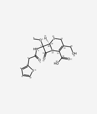 COC1(NC(=O)Cc2cccs2)C(=O)N2C(C(=O)O)=C(CO)CS[C@@H]21